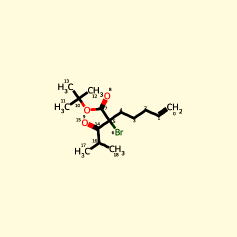 C=CCCCC(Br)(C(=O)OC(C)(C)C)C(=O)C(C)C